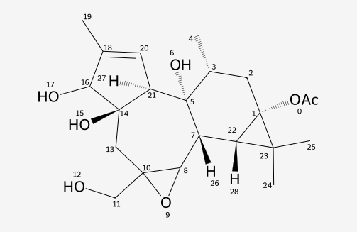 CC(=O)O[C@@]12C[C@@H](C)[C@@]3(O)[C@@H](C4OC4(CO)C[C@]4(O)C(O)C(C)=C[C@@H]34)[C@H]1C2(C)C